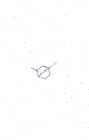 CN1CC2(Cl)CCC1CC2